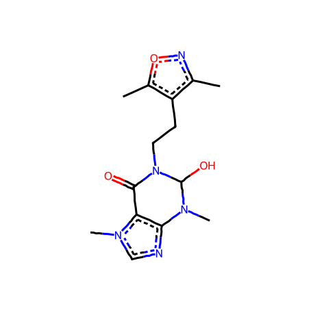 Cc1noc(C)c1CCN1C(=O)c2c(ncn2C)N(C)C1O